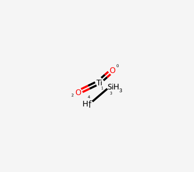 [O]=[Ti]=[O].[SiH3][Hf]